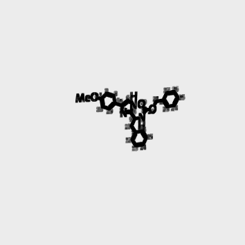 COc1ccc(-c2c[nH]c(C(Cc3ccccc3)NC(=O)OCc3ccccc3)n2)cc1